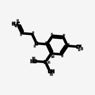 C=CCOc1ccc(C(F)(F)F)cc1B(O)O